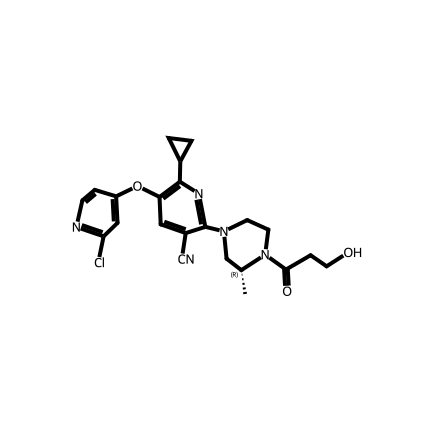 C[C@@H]1CN(c2nc(C3CC3)c(Oc3ccnc(Cl)c3)cc2C#N)CCN1C(=O)CCO